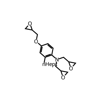 CCCCCCCc1cc(OCC2CO2)ccc1N(CC1CO1)CC1CO1